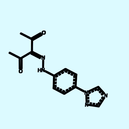 CC(=O)C(=NNc1ccc(-n2cncn2)cc1)C(C)=O